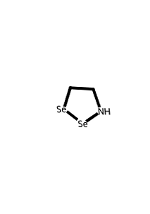 C1C[Se][Se]N1